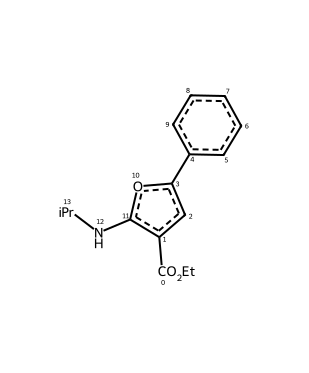 CCOC(=O)c1cc(-c2ccccc2)oc1NC(C)C